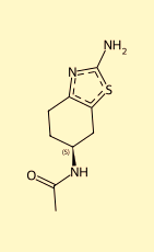 CC(=O)N[C@H]1CCc2nc(N)sc2C1